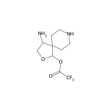 NC1COC(OC(=O)C(F)(F)F)C12CCNCC2